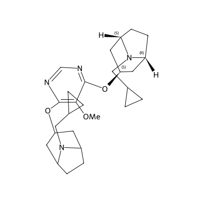 COc1c(OC2CC3CCC(C2)N3CC2CC2)ncnc1O[C@@H]1C[C@H]2CC[C@@H](C1)N2CC1CC1